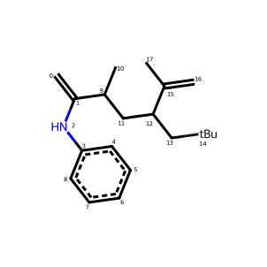 C=C(Nc1ccccc1)C(C)CC(CC(C)(C)C)C(=C)C